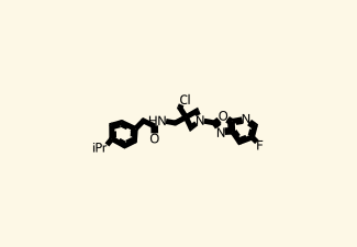 CC(C)c1ccc(CC(=O)NCC2(CCl)CN(c3nc4cc(F)cnc4o3)C2)cc1